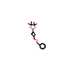 CC1(C)OB(C2=CC(COCc3ccccc3)C2)OC1(C)C